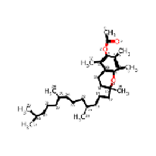 CC(=O)Oc1c(C)c(C)c2c(c1C)CC[C@@](C)(CCC[C@@H](C)CCC[C@H](C)CCCC(C)C)O2